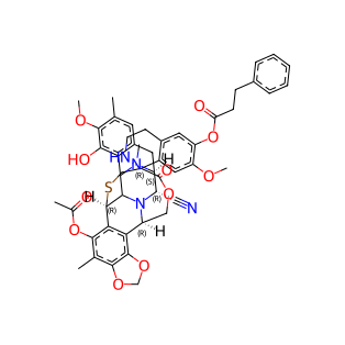 COc1cc2c(cc1OC(=O)CCc1ccccc1)CCN[C@]21CS[C@@H]2c3c(OC(C)=O)c(C)c4c(c3[C@H](COC1=O)N1C2C2c3c(cc(C)c(OC)c3O)C[C@@H]([C@@H]1C#N)N2C)OCO4